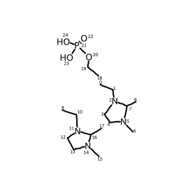 CCN1CCN(C)C1C.CCN1CCN(C)C1C.CCOP(=O)(O)O